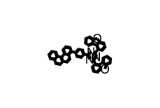 c1ccc2c(c1)ccc1ccc3c(-c4ccc(-c5nc(-c6cccc7oc8ccccc8c67)nc(-c6cccc7oc8ccccc8c67)n5)cc4)cccc3c12